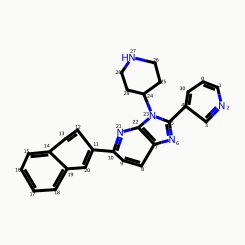 c1cncc(-c2nc3ccc(-c4ccc5ccccc5c4)nc3n2C2CCNCC2)c1